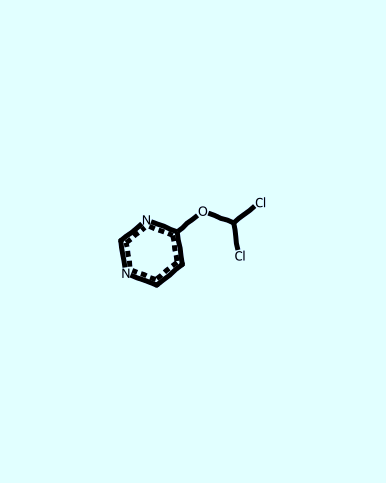 ClC(Cl)Oc1ccncn1